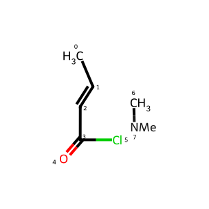 C/C=C/C(=O)Cl.CNC